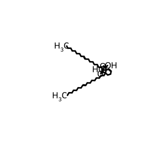 CCCCCCCCC=CCCCCCCCCC1(C(=O)O)C=CCCC1(CCCCCCCCC=CCCCCCCCC)C(=O)O